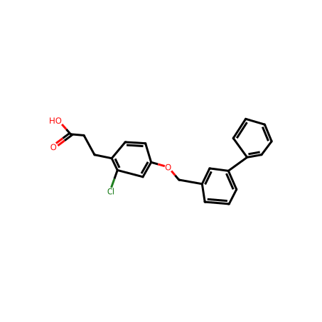 O=C(O)CCc1ccc(OCc2cccc(-c3ccccc3)c2)cc1Cl